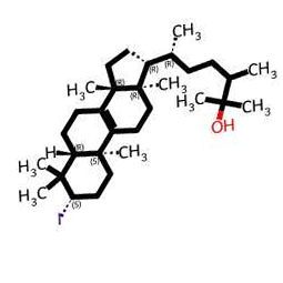 CC(CC[C@@H](C)[C@H]1CC[C@@]2(C)C3=C(CC[C@]12C)[C@@]1(C)CC[C@H](I)C(C)(C)[C@@H]1CC3)C(C)(C)O